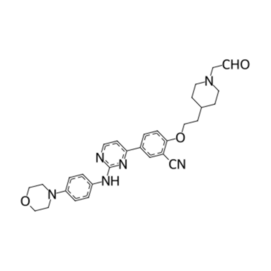 N#Cc1cc(-c2ccnc(Nc3ccc(N4CCOCC4)cc3)n2)ccc1OCCC1CCN(CC=O)CC1